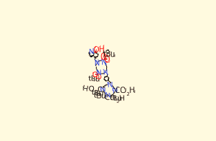 CC(C)(C)OC(=O)N1CCCN(Cc2ccc(O)c3ncccc23)CCN(C(=O)OC(C)(C)C)CCCN(Cc2cccc(CN3CCCN(C(=O)O)C(C(C)(C)C)C(C(C)(C)C)N(C(=O)O)C(C(C)(C)C)CCN(C(=O)O)CC3)c2)CC1